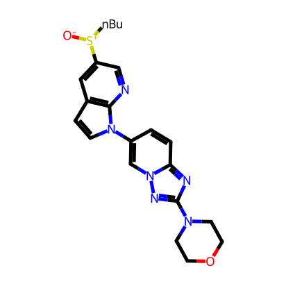 CCCC[S+]([O-])c1cnc2c(ccn2-c2ccc3nc(N4CCOCC4)nn3c2)c1